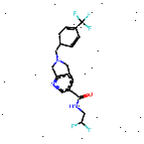 O=C(NCC(F)F)c1cnc2c(c1)CN(CC1C=CC(C(F)(F)F)=CC1)C2